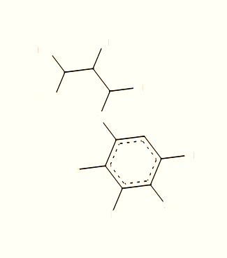 CC(C)C(C)C(C)Sc1cc(Cl)c(O)c(Cl)c1Cl